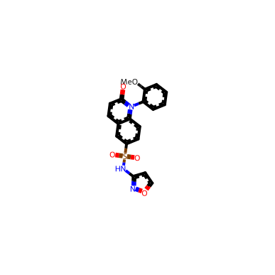 COc1ccccc1-n1c(=O)ccc2cc(S(=O)(=O)Nc3ccon3)ccc21